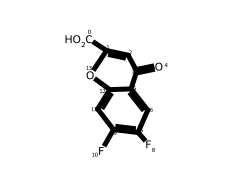 O=C(O)c1cc(=O)c2cc(F)c(F)cc2o1